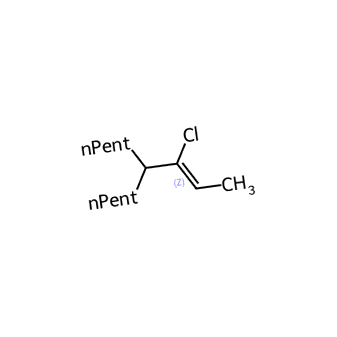 C/C=C(\Cl)C(CCCCC)CCCCC